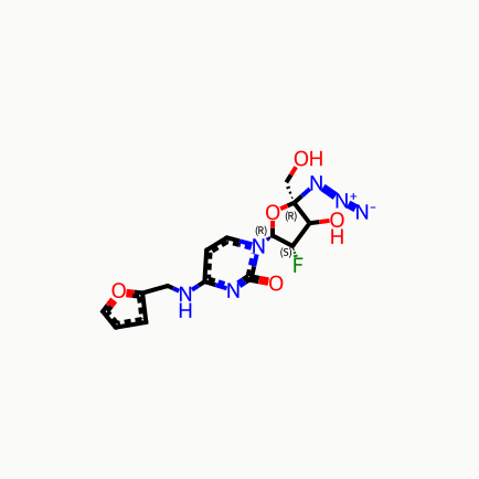 [N-]=[N+]=N[C@]1(CO)O[C@@H](n2ccc(NCc3ccco3)nc2=O)[C@@H](F)C1O